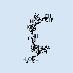 CC(=O)CC(=O)NC(COCC[C@@H](C)O)COP(=O)(O)OCCNC(=O)NCCOP(=O)(O)OCC(COCC[C@@H](C)O)NC(=O)CC(C)=O